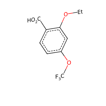 CCOc1cc(OC(F)(F)F)ccc1C(=O)O